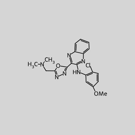 COc1ccc(Cl)c(Nc2nc3ccccc3nc2-c2nnc(CN(C)C)o2)c1